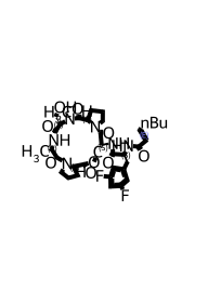 CCCC/C=C/C(=O)N[C@@H](Cc1cc(F)cc(F)c1)C(=O)N[C@H]1COC(=O)[C@@H]2CCCN2C(=O)[C@H](C)NC(=O)[C@H](CO)N(C)C(=O)[C@@H]2CCCN2C1=O